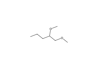 CCCC(COC)OC